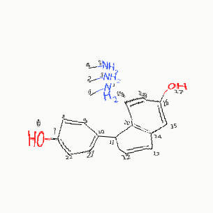 CN.CN.CN.Oc1ccc(C2C=Cc3cc(O)ccc32)cc1